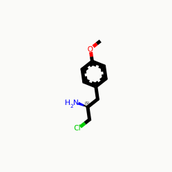 COc1ccc(C[C@H](N)CCl)cc1